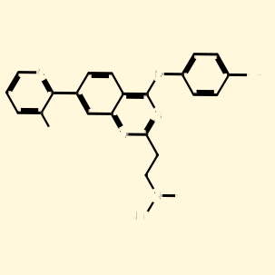 CCCN(C)CCc1nc(Nc2ccc(C(F)(F)F)cc2)c2ccc(-c3ncccc3C(F)(F)F)cc2n1